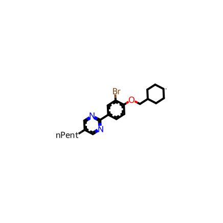 CCCCCc1cnc(-c2ccc(OCC3CC[CH]CC3)c(Br)c2)nc1